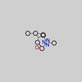 c1ccc(-c2ccc3c(c2)C(c2ccc4oc5cccc(-c6nc(-c7ccccc7)nc(-c7ccccc7)n6)c5c4c2)c2ccccc2-3)cc1